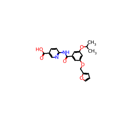 CC(C)Oc1cc(OCc2ccco2)cc(C(=O)Nc2ccc(C(=O)O)cn2)c1